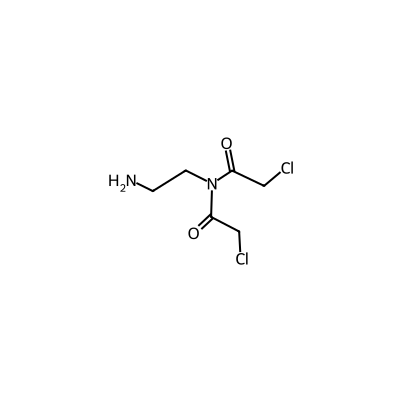 NCCN(C(=O)CCl)C(=O)CCl